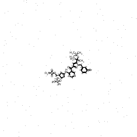 CC(C)[Si](O[C@H]1C[C@H](Nc2ncncc2C(=O)c2cc(C(C)(C)O[Si](C)(C)C)n(Cc3cccc(Br)c3)n2)C[C@@H]1COS(N)(=O)=O)(C(C)C)C(C)C